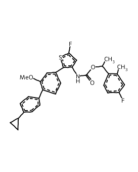 COc1cc(-c2sc(F)cc2NC(=O)OC(C)c2ccc(F)cc2C)ccc1-c1ccc(C2CC2)cc1